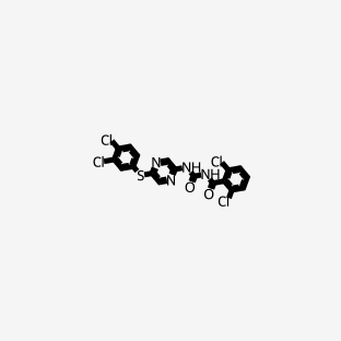 O=C(NC(=O)c1c(Cl)cccc1Cl)Nc1cnc(Sc2ccc(Cl)c(Cl)c2)cn1